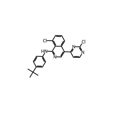 CC(C)(C)c1ccc(Nc2ncc(-c3ccnc(Cl)n3)c3cccc(Cl)c23)cc1